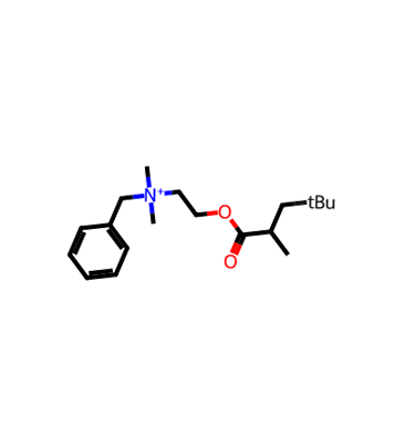 CC(CC(C)(C)C)C(=O)OCC[N+](C)(C)Cc1ccccc1